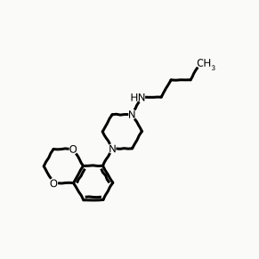 CCCCNN1CCN(c2cccc3c2OCCO3)CC1